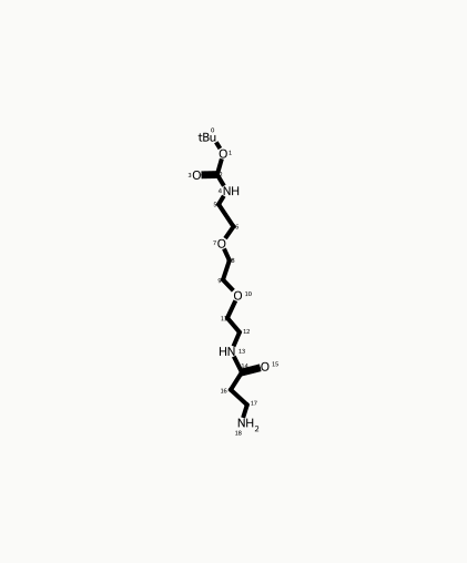 CC(C)(C)OC(=O)NCCOCCOCCNC(=O)CCN